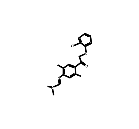 Cc1cc(C(=O)COc2ccccc2Cl)c(C)cc1N=CN(C)C